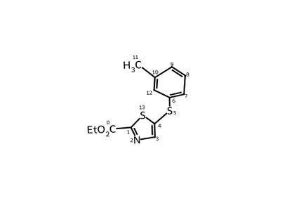 CCOC(=O)c1ncc(Sc2cccc(C)c2)s1